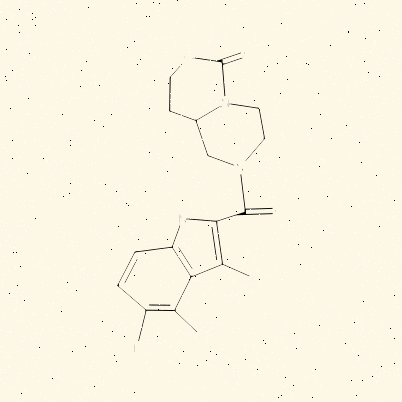 O=C(c1[nH]c2ccc(F)c(Cl)c2c1Cl)N1CCN2C(=O)OCCC2C1